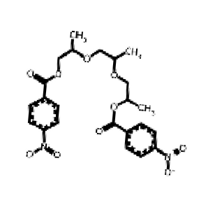 CC(COC(=O)c1ccc([N+](=O)[O-])cc1)OCC(C)OCC(C)OC(=O)c1ccc([N+](=O)[O-])cc1